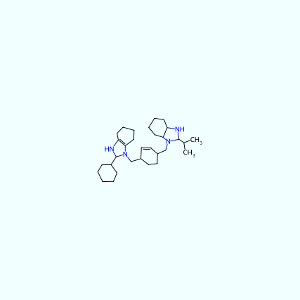 CC(C)C1NC2CCCCC2N1CC1C=CC(CN2C3=C(CCCC3)NC2C2CCCCC2)CC1